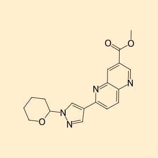 COC(=O)c1cnc2ccc(-c3cnn(C4CCCCO4)c3)nc2c1